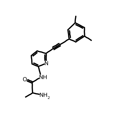 Cc1cc(C)cc(C#Cc2cccc(NC(=O)C(C)N)n2)c1